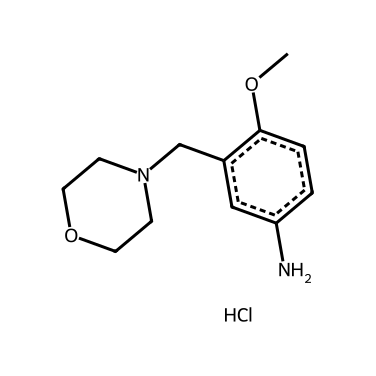 COc1ccc(N)cc1CN1CCOCC1.Cl